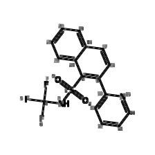 O=S(=O)(NC(F)(F)F)c1c(-c2ccccn2)ccc2ccccc12